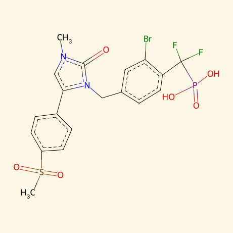 Cn1cc(-c2ccc(S(C)(=O)=O)cc2)n(Cc2ccc(C(F)(F)P(=O)(O)O)c(Br)c2)c1=O